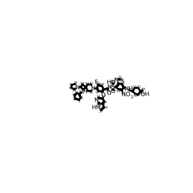 CC(C)c1ccccc1[C@@H]1CCCN1C1CC2(CCN(c3cc(Oc4cnc5[nH]ccc5c4)c(C(=O)NS(=O)(=O)c4cc([N+](=O)[O-])c(NCC5CCC(C)(O)CC5)c5scnc45)cc3F)CC2)C1